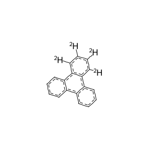 [2H]c1c([2H])c([2H])c2c3ccccc3c3ccccc3c2c1[2H]